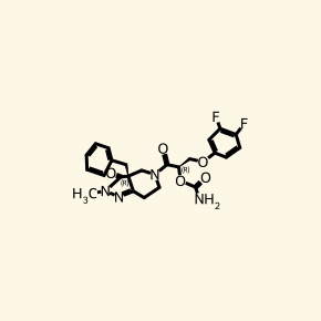 CN1N=C2CCN(C(=O)[C@@H](COc3ccc(F)c(F)c3)OC(N)=O)C[C@@]2(Cc2ccccc2)C1=O